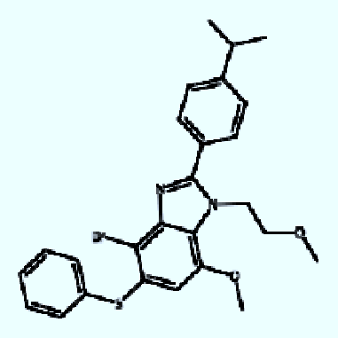 COCCn1c(-c2ccc(C(C)C)cc2)nc2c(Br)c(Sc3ccccc3)cc(OC)c21